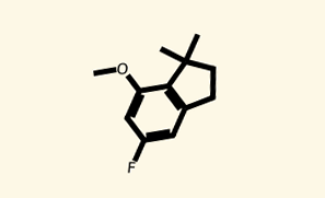 COc1cc(F)cc2c1C(C)(C)CC2